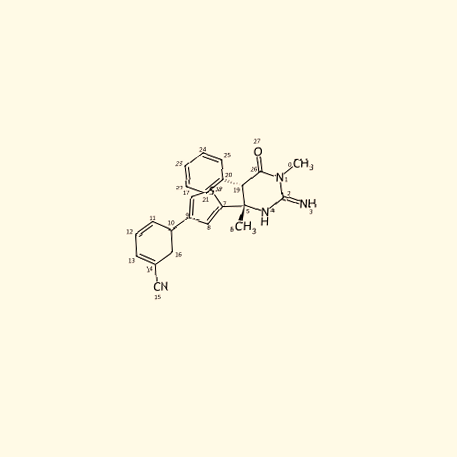 CN1C(=N)N[C@](C)(c2cc(C3C=CC=C(C#N)C3)cs2)[C@H](c2ccccc2)C1=O